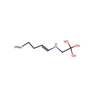 CCCCCCCCC=CNCC(O)(O)O